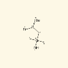 CCCCC(CC)C[Si](C)(C)[NH]